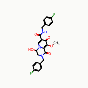 COc1c2n(cc(C(=O)NCc3ccc(F)cc3)c1=O)C(O)CN(Cc1ccc(F)cc1)C2=O